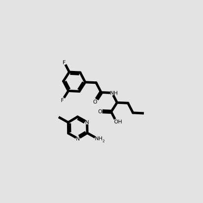 CCCC(NC(=O)Cc1cc(F)cc(F)c1)C(=O)O.Cc1cnc(N)nc1